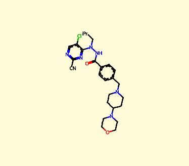 CC(C)CN(NC(=O)c1ccc(CN2CCC(N3CCOCC3)CC2)cc1)c1nc(C#N)ncc1Cl